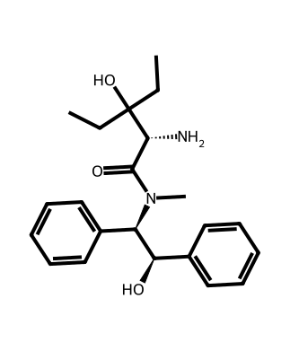 CCC(O)(CC)[C@H](N)C(=O)N(C)[C@H](c1ccccc1)[C@H](O)c1ccccc1